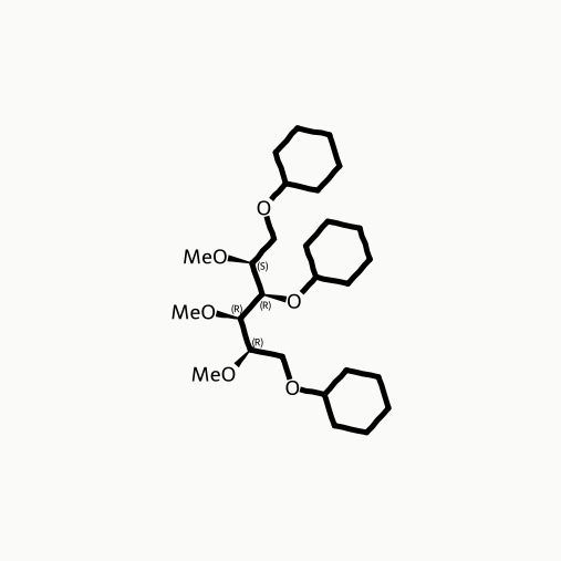 CO[C@@H]([C@H](OC1CCCCC1)[C@H](COC1CCCCC1)OC)[C@@H](COC1CCCCC1)OC